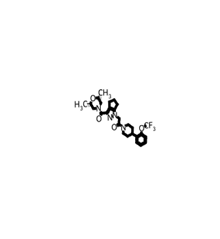 C[C@@H]1CN(C(=O)c2nn(CC(=O)N3CCC(c4ccccc4OC(F)(F)F)CC3)c3c2CCC3)C[C@H](C)O1